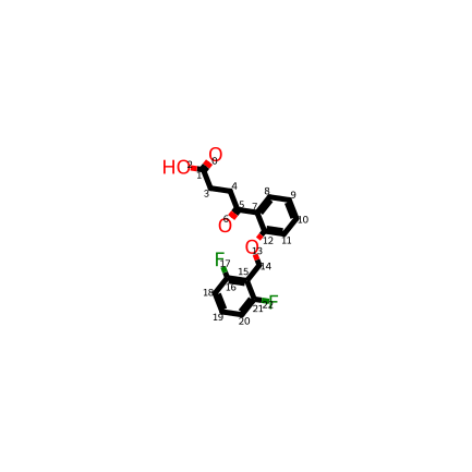 O=C(O)CCC(=O)c1ccccc1OCc1c(F)cccc1F